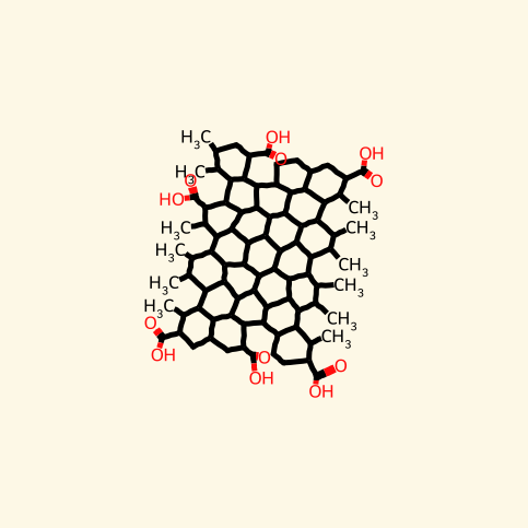 CC1CC(C(=O)O)C2C(C1C)C1C(C(=O)O)C(C)C3C4C(C)C(C)C5C6C(C)C(C(=O)O)CC7CC(C(=O)O)C8C9C%10CCC(C(=O)O)C(C)C%10C%10C(C)C(C)C%11C%12C(C)C(C)C%13C%14C(C)C(C(=O)O)CC%15CCC%16C(C%15%14)C%14C%13C%12C%12C%13C%11C%10C9C9C(C8C76)C5C4C(C4C3C1C(C%162)C%14C%124)C%139